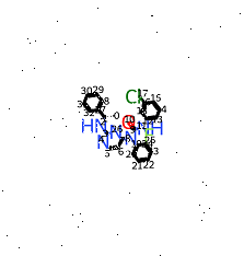 C[C@H](Nc1nccc(N(C(=O)Nc2cccc(Cl)c2)c2ccccc2F)n1)c1ccccc1